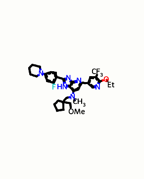 CCOc1ncc(-c2cc(N(C)CC3(COC)CCCC3)c3[nH]c(-c4ccc(N5CCCCC5)cc4F)nc3n2)cc1C(F)(F)F